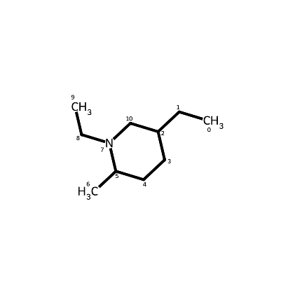 CCC1CCC(C)N(CC)C1